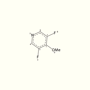 COc1c(F)cncc1F